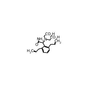 C=CCc1cccc(CC=C)c1C(C(N)=O)N(CC(=O)O)CC(=O)O